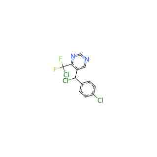 FC(F)(Cl)c1ncncc1C(Cl)c1ccc(Cl)cc1